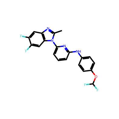 Cc1nc2cc(F)c(F)cc2n1-c1cccc(Nc2ccc(OC(F)F)cc2)n1